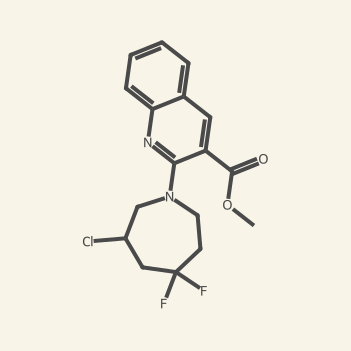 COC(=O)c1cc2ccccc2nc1N1CCC(F)(F)CC(Cl)C1